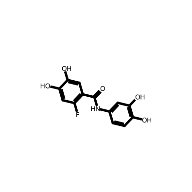 O=C(Nc1ccc(O)c(O)c1)c1cc(O)c(O)cc1F